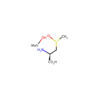 CSO.C[S+]([O-])C[C@H](N)C(=O)O